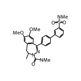 CNC(=O)N1N=C(c2ccc(-c3cccc(S(=O)(=O)NC)c3)cc2)c2cc(OC)c(OC)cc2CC1C